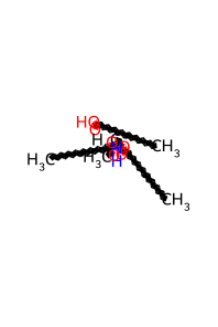 CCCCCCCCC=CCCCCCCCC(=O)O.CCCCCCCCC=CCCCCCCCC(=O)OC(CC)NC(=O)C(CCCCCCC=CCCCCCCCC)C(C)=O